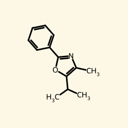 Cc1nc(-c2ccccc2)oc1C(C)C